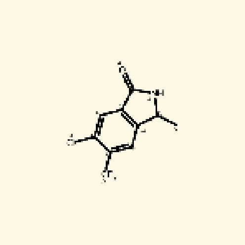 CC1NC(=O)c2cc(Cl)c(C(F)(F)F)cc21